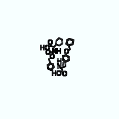 N[C@@H](Cc1ccc(OCc2ccccc2)cc1)C(=O)O.O=C(N[C@H](C(=O)O)C1CCCCC1)OCc1ccccc1